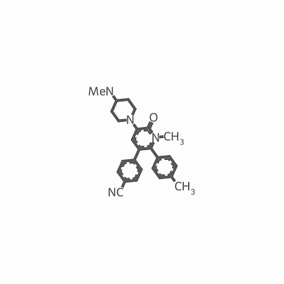 CNC1CCN(c2cc(-c3ccc(C#N)cc3)c(-c3ccc(C)cc3)n(C)c2=O)CC1